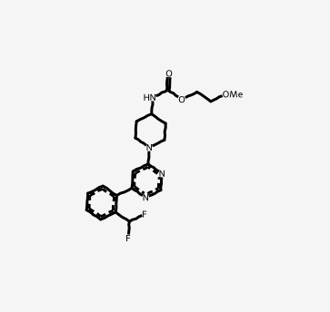 COCCOC(=O)NC1CCN(c2cc(-c3ccccc3C(F)F)ncn2)CC1